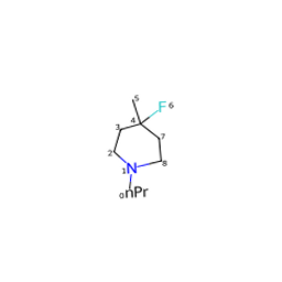 CCCN1CCC(C)(F)CC1